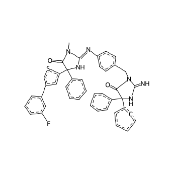 CN1C(=O)C(c2ccccc2)(c2cc(-c3cccc(F)c3)cs2)NC1=Nc1ccc(CN2C(=N)NC(c3ccccc3)(c3ccccc3)C2=O)cc1